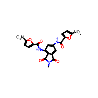 CN1C(=O)c2cc(NC(=O)c3ccc([N+](=O)[O-])o3)cc(NC(=O)c3ccc([N+](=O)[O-])o3)c2C1=O